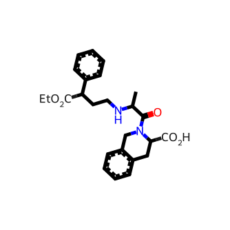 CCOC(=O)C(CCNC(C)C(=O)N1Cc2ccccc2CC1C(=O)O)c1ccccc1